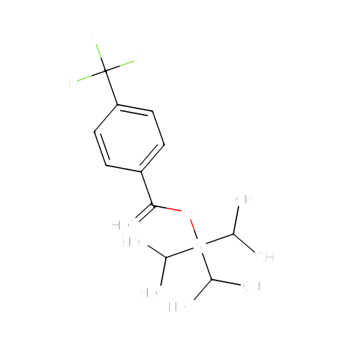 C=C(O[Si](C(C)C)(C(C)C)C(C)C)c1ccc(C(F)(F)F)cc1